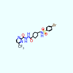 O=C(NNC(=O)C1CCC(CNS(=O)(=O)c2ccc(Br)cc2)CC1)c1nccc(C(F)(F)F)n1